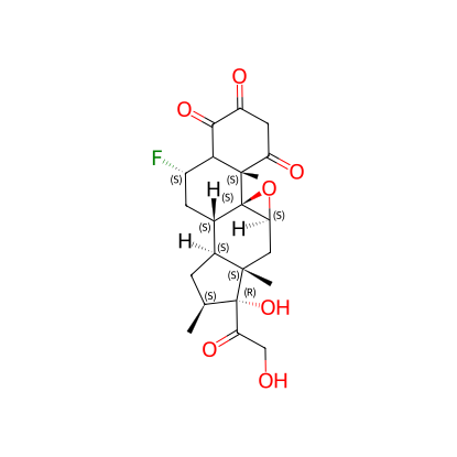 C[C@H]1C[C@H]2[C@@H]3C[C@H](F)C4C(=O)C(=O)CC(=O)[C@]4(C)[C@@]34O[C@H]4C[C@]2(C)[C@@]1(O)C(=O)CO